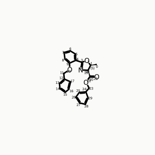 C[C@@H]1OC(c2ccccc2OCc2ccccc2)=N[C@@H]1C(=O)OCc1ccccc1